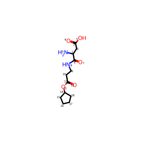 NC(CC(=O)O)C(=O)NCCC(=O)OC1CCCC1